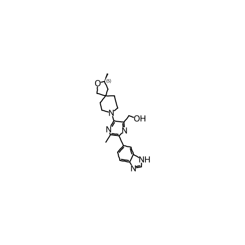 Cc1nc(N2CCC3(CC2)CO[C@@H](C)C3)c(CO)nc1-c1ccc2nc[nH]c2c1